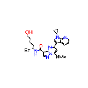 CC[C@H](CCCCO)NC(=O)c1cnn2c(NC)cc(-c3cn(C4CC4)c4ncccc34)nc12